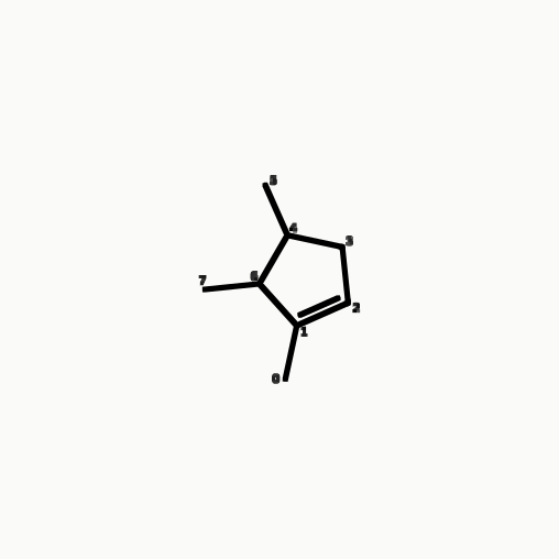 CC1=CCC(C)C1C